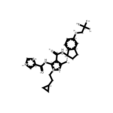 O=C(Nc1c2c(nn1CCC1CC1)C[C@]1(CCc3cc(OCC(F)(F)F)ccc31)NC2=O)c1cncs1